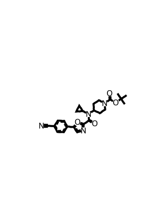 CC(C)(C)OC(=O)N1CCC(N(C(=O)c2ncc(-c3ccc(C#N)cc3)o2)C2CC2)CC1